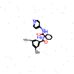 CC(C)(C)c1cc(C(=O)NC2(C(=O)Nc3ccncc3)CCCCC2)cc(C(C)(C)C)c1